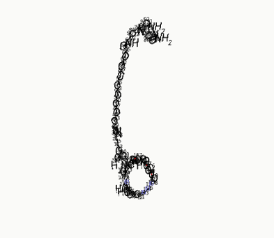 CO[C@H]1C[C@@H]2CCC[C@@](O)(O2)C(=O)C(=O)N2CCCC[C@H]2C(=O)O[C@H]([C@H](N)C[C@@H]2CC[C@@H](OCCCCc3cn(CCOCCOCCOCCOCCOCCOCCOCCOCCC(=O)NCc4ccc(Cn5nc(-c6ccc7oc(N)nc7c6)c6c(N)cccc65)cc4)nn3)[C@H](OC)C2)CC(=O)[C@H](C)/C=C(\C)[C@@H](O)[C@@H](O)C(=O)[C@H](C)C[C@H](C)/C=C/C=C/C=C/1C